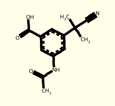 CC(=O)Nc1cc(C(=O)O)cc(C(C)(C)C#N)c1